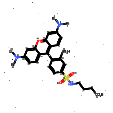 CCN(CC)c1ccc2c(-c3ccc(S(=O)(=O)NCCCC(=O)O)cc3S(=O)(=O)O)c3ccc(N(CC)CC)cc3[o+]c2c1